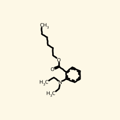 CCCCCCOC(=O)c1ccccc1N(CC)CC